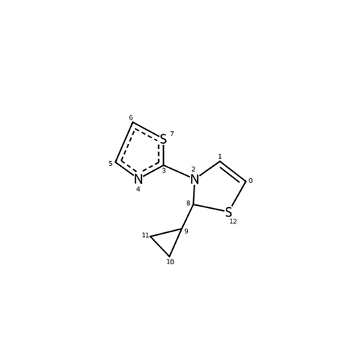 C1=CN(c2nccs2)C(C2CC2)S1